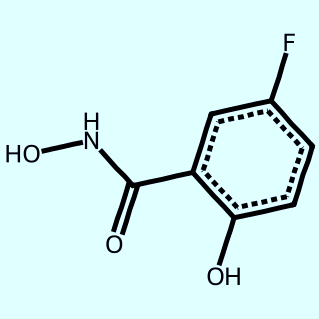 O=C(NO)c1cc(F)ccc1O